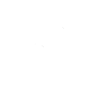 O=C1CSC(C=C(c2ccccc2)c2ccccc2)N1CCC1CCCCN1